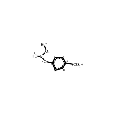 CCOB(O)Oc1ccc(C(=O)O)cc1